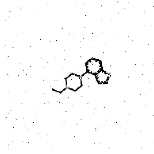 CCN1CCN(c2cccc3sccc23)CC1